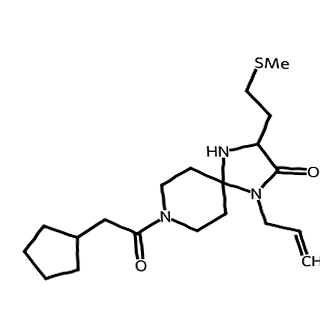 C=CCN1C(=O)C(CCSC)NC12CCN(C(=O)CC1CCCC1)CC2